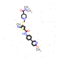 C=Nc1sc(C(=O)Nc2ccc(-c3ccc(OC)nc3)cc2)cc1SCN1CCC(C(=O)N(C)C)CC1